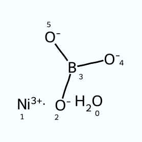 O.[Ni+3].[O-]B([O-])[O-]